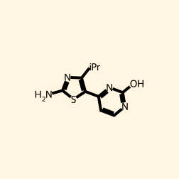 CC(C)c1nc(N)sc1-c1ccnc(O)n1